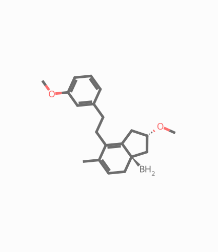 B[C@@]12CC=C(C)C(CCc3cccc(OC)c3)=C1C[C@H](OC)C2